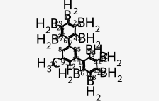 Bc1c(B)c(B)c(-c2cc(C)c(F)c(-c3c(B)c(B)c(B)c(B)c3B)c2)c(B)c1B